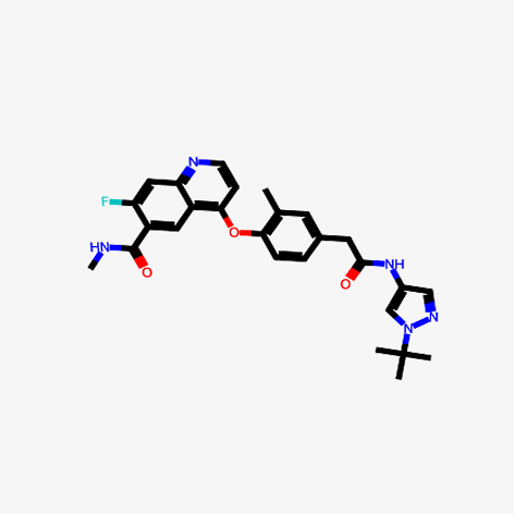 CNC(=O)c1cc2c(Oc3ccc(CC(=O)Nc4cnn(C(C)(C)C)c4)cc3C)ccnc2cc1F